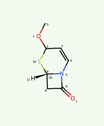 COC1C=CN2C(=O)C[C@@H]2S1